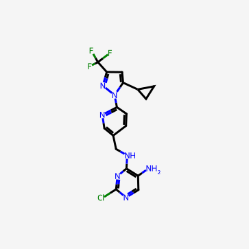 Nc1cnc(Cl)nc1NCc1ccc(-n2nc(C(F)(F)F)cc2C2CC2)nc1